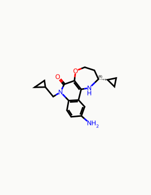 Nc1ccc2c(c1)c1c(c(=O)n2CC2CC2)OCC[C@H](C2CC2)N1